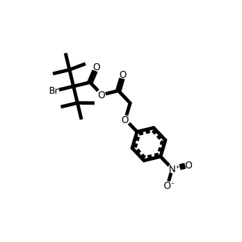 CC(C)(C)C(Br)(C(=O)OC(=O)COc1ccc([N+](=O)[O-])cc1)C(C)(C)C